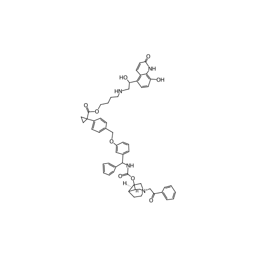 O=C(NC(c1ccccc1)c1cccc(OCc2ccc(C3(C(=O)OCCCCNCC(O)c4ccc(O)c5[nH]c(=O)ccc45)CC3)cc2)c1)O[C@H]1C[N+]2(CC(=O)c3ccccc3)CCC1CC2